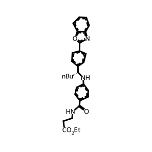 CCCC[C@@H](Nc1ccc(C(=O)NCCC(=O)OCC)cc1)c1ccc(-c2nc3ccccc3o2)cc1